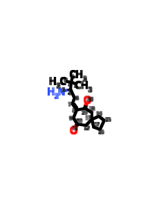 CC(C)(C)[C@H](N)C/C=C1/CC(=O)CC2(CCCC2)CC1=O